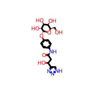 O=C(CC(O)c1c[nH]nn1)Nc1ccc(O[C@H]2O[C@H](CO)[C@H](O)[C@H](O)[C@H]2O)cc1